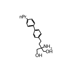 CCCc1ccc(-c2ccc(CCC(N)(CO)CO)cc2)cc1